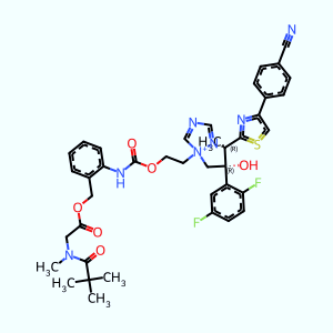 C[C@@H](c1nc(-c2ccc(C#N)cc2)cs1)[C@](O)(C[N+]1(CCOC(=O)Nc2ccccc2COC(=O)CN(C)C(=O)C(C)(C)C)C=NC=N1)c1cc(F)ccc1F